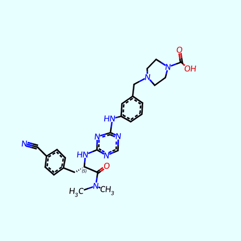 CN(C)C(=O)[C@H](Cc1ccc(C#N)cc1)Nc1ncnc(Nc2cccc(CN3CCN(C(=O)O)CC3)c2)n1